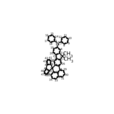 CC1(C)c2cc(N(c3ccccc3)c3ccccc3)ccc2-c2cc3c(cc21)-c1cccc2cccc(c12)C31c2ccccc2-c2ccccc21